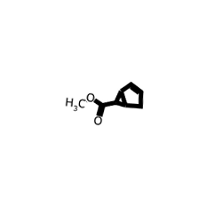 COC(=O)C1C2C=CCC21